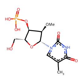 CO[C@@H]1[C@H](OP(=O)(O)O)[C@@H](CO)O[C@H]1n1cc(C)c(=O)[nH]c1=O